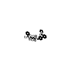 CC[C@H](c1ccccc1)N(CC)C(=O)[C@H](O)[C@@H](O)C(=O)NCc1ccc(-c2ccccc2C(=O)N2CCCC2)cc1